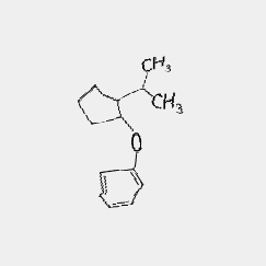 CC(C)C1CCCC1Oc1ccccc1